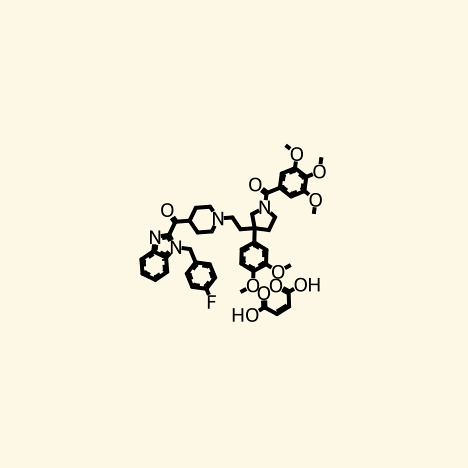 COc1ccc(C2(CCN3CCC(C(=O)c4nc5ccccc5n4Cc4ccc(F)cc4)CC3)CCN(C(=O)c3cc(OC)c(OC)c(OC)c3)C2)cc1OC.O=C(O)/C=C\C(=O)O